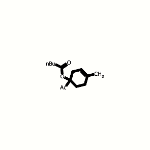 CCCCC(=O)OC1(C(C)=O)CC=C(C)CC1